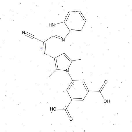 Cc1cc(/C=C(/C#N)c2nc3ccccc3[nH]2)c(C)n1-c1cc(C(=O)O)cc(C(=O)O)c1